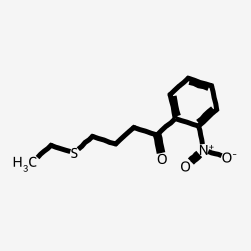 CCSCCCC(=O)c1ccccc1[N+](=O)[O-]